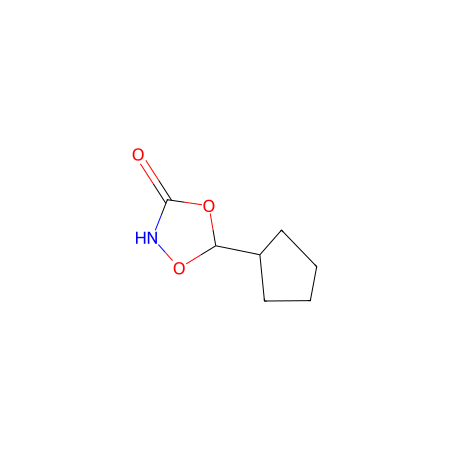 O=C1NOC(C2CCCC2)O1